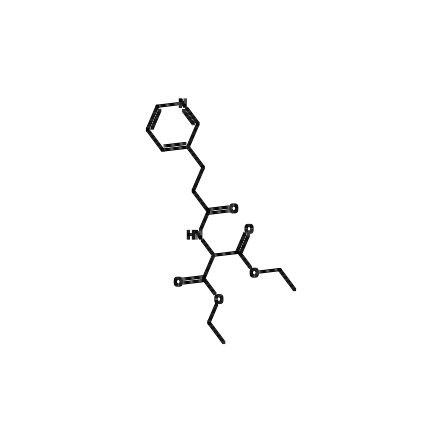 CCOC(=O)C(NC(=O)CCc1cccnc1)C(=O)OCC